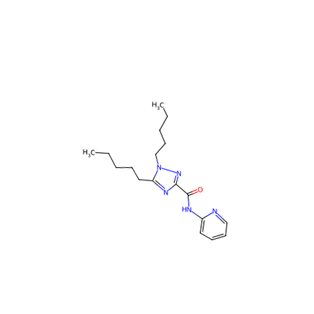 CCCCCc1nc(C(=O)Nc2ccccn2)nn1CCCCC